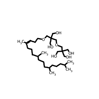 CC(=CCCOCC(CO)(CO)COCC(CO)(CO)CO)CCCC(C)CCCC(C)CCCC(C)C